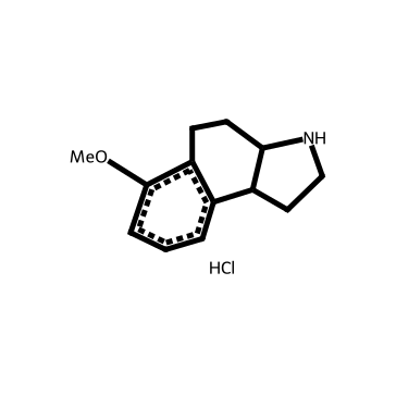 COc1cccc2c1CCC1NCCC21.Cl